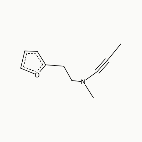 CC#CN(C)CCc1ccco1